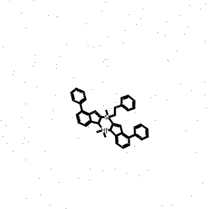 C[Si]1(CCc2ccccc2)C2=Cc3c(-c4ccccc4)cccc3[CH]2[Hf]([CH3])([CH3])[CH]2C1=Cc1c(-c3ccccc3)cccc12